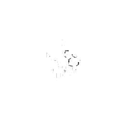 CN(c1ncnc2sc(CC(F)(F)F)cc12)C1CC(N)CC1O